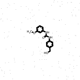 COc1cccc(NC(=O)Nc2ccc(CO)cc2)c1